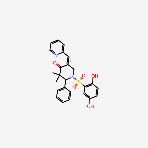 CC1(C)C(=O)/C(=C\c2ccccn2)CN(S(=O)(=O)c2cc(O)ccc2O)C1c1ccccc1